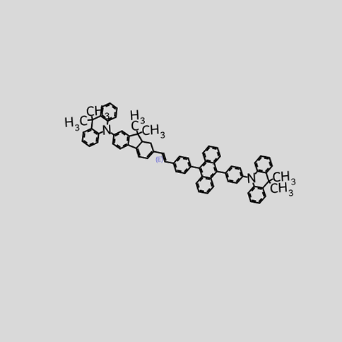 CC1(C)c2ccccc2N(c2ccc(-c3c4ccccc4c(-c4ccc(/C=C/C5=CC=C6c7ccc(N8c9ccccc9C(C)(C)c9ccccc98)cc7C(C)(C)C6C5)cc4)c4ccccc34)cc2)c2ccccc21